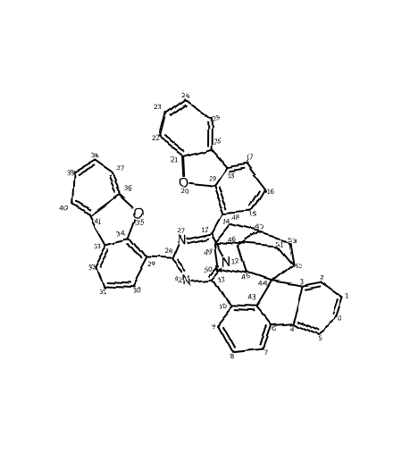 c1ccc2c(c1)-c1cccc(-c3nc(-c4cccc5c4oc4ccccc45)nc(-c4cccc5c4oc4ccccc45)n3)c1C21C2CC3CC(C2)CC1C3